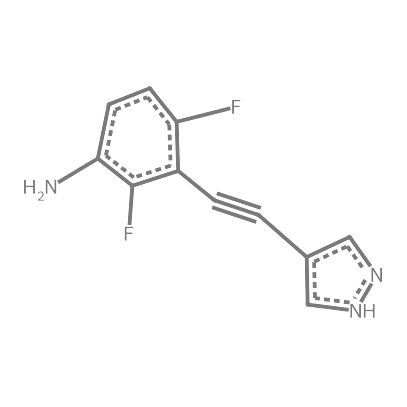 Nc1ccc(F)c(C#Cc2cn[nH]c2)c1F